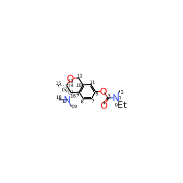 CCN(C)C(=O)Oc1ccc2c(c1)CO[C@@H](C)[C@H]2N(C)C